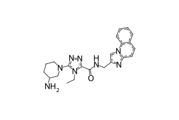 CCn1c(C(=O)NCc2cn3c(ccc4ccccc43)n2)nnc1N1CCCC(N)C1